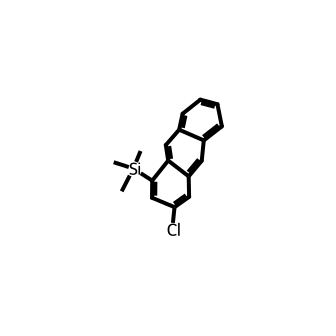 C[Si](C)(C)c1cc(Cl)cc2cc3ccccc3cc12